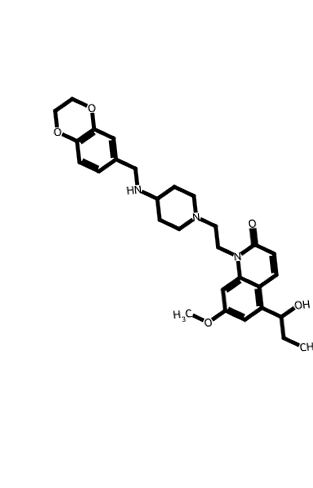 CCC(O)c1cc(OC)cc2c1ccc(=O)n2CCN1CCC(NCc2ccc3c(c2)OCCO3)CC1